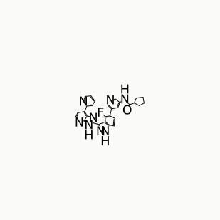 O=C(Nc1cncc(-c2ccc3[nH]nc(-c4nc5c(-c6ccccn6)ccnc5[nH]4)c3c2F)c1)C1CCCC1